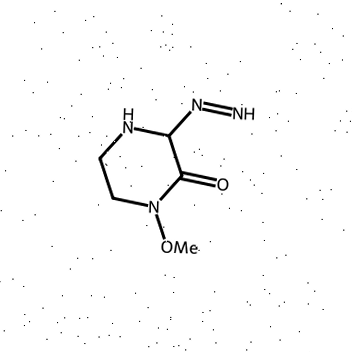 CON1CCNC(N=N)C1=O